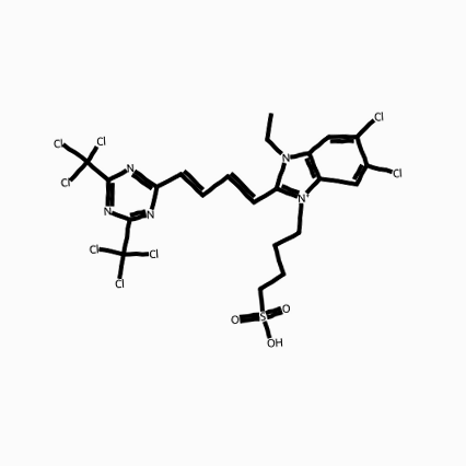 CCn1c(C=CC=Cc2nc(C(Cl)(Cl)Cl)nc(C(Cl)(Cl)Cl)n2)[n+](CCCCS(=O)(=O)O)c2cc(Cl)c(Cl)cc21